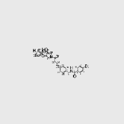 CCc1ccc(C(=O)NCc2ccc(OCCC(=O)N3C[C@H](O[Si](C)(C)C(C)(C)C)[C@@H](O)C3)cc2)cc1